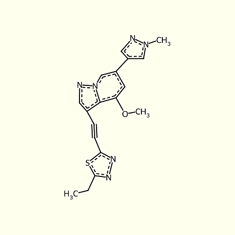 CCc1nnc(C#Cc2cnn3cc(-c4cnn(C)c4)cc(OC)c23)s1